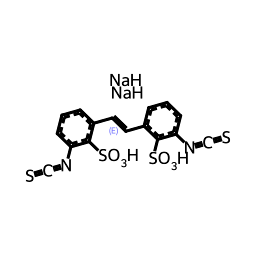 O=S(=O)(O)c1c(/C=C/c2cccc(N=C=S)c2S(=O)(=O)O)cccc1N=C=S.[NaH].[NaH]